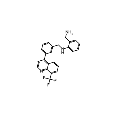 NCc1ccccc1NCc1cccc(-c2[c]cnc3c(C(F)(F)F)cccc23)c1